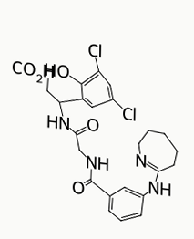 O=C(O)CC(NC(=O)CNC(=O)c1cccc(NC2=NCCCCC2)c1)c1cc(Cl)cc(Cl)c1O